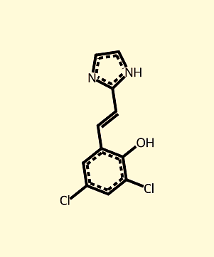 Oc1c(Cl)cc(Cl)cc1C=Cc1ncc[nH]1